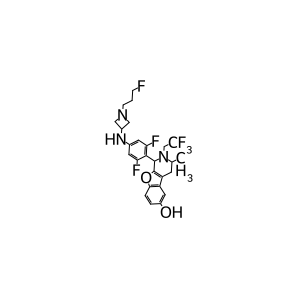 CC1Cc2c(oc3ccc(O)cc23)C(c2c(F)cc(NC3CN(CCCF)C3)cc2F)N1CC(F)(F)F